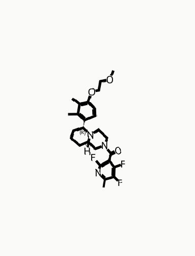 COCCOc1ccc([C@H]2CCC[C@H]3CN(C(=O)c4c(F)nc(C)c(F)c4F)CCN32)c(C)c1C